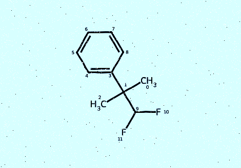 CC(C)(c1ccccc1)C(F)F